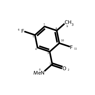 CNC(=O)c1cc(F)cc(C)c1F